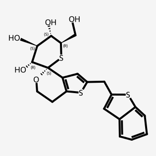 OC[C@H]1S[C@]2(OCCc3sc(Cc4cc5ccccc5s4)cc32)[C@H](O)[C@@H](O)[C@@H]1O